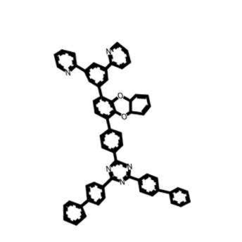 C1=CC2Oc3c(-c4ccc(-c5nc(-c6ccc(-c7ccccc7)cc6)nc(-c6ccc(-c7ccccc7)cc6)n5)cc4)ccc(-c4cc(-c5ccccn5)cc(-c5ccccn5)c4)c3OC2C=C1